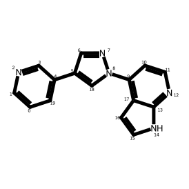 c1cncc(-c2cnn(-c3ccnc4[nH]ccc34)c2)c1